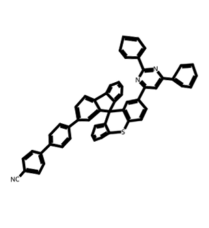 N#Cc1ccc(-c2ccc(-c3ccc4c(c3)C3(c5ccccc5Sc5ccc(-c6cc(-c7ccccc7)nc(-c7ccccc7)n6)cc53)c3ccccc3-4)cc2)cc1